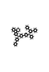 c1ccc(-c2ccc(N(c3ccc(-c4ccc(N(c5ccccc5)c5cc(-c6ccccc6)cc(-c6ccccc6)c5)cc4)cc3)c3ccc4c(c3)C3(CCCCC3)c3ccccc3-4)cc2)cc1